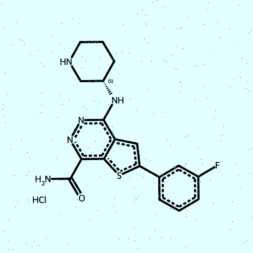 Cl.NC(=O)c1nnc(N[C@H]2CCCNC2)c2cc(-c3cccc(F)c3)sc12